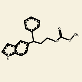 COC(=O)NCCC(c1ccccc1)c1ccc2[nH]ccc2c1